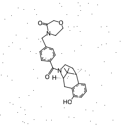 CC1(C)[C@H]2Cc3c(O)cccc3[C@]1(C)CCN2C(=O)c1ccc(CN2CCOCC2=O)cc1